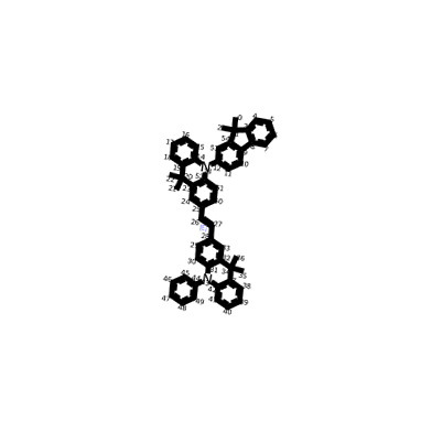 CC1(C)c2ccccc2-c2ccc(N3c4ccccc4C(C)(C)c4cc(/C=C/c5ccc6c(c5)C(C)(C)c5ccccc5N6c5ccccc5)ccc43)cc21